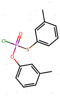 Cc1cccc(OP(=O)(Cl)Sc2cccc(C)c2)c1